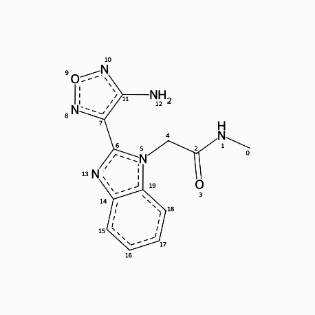 CNC(=O)Cn1c(-c2nonc2N)nc2ccccc21